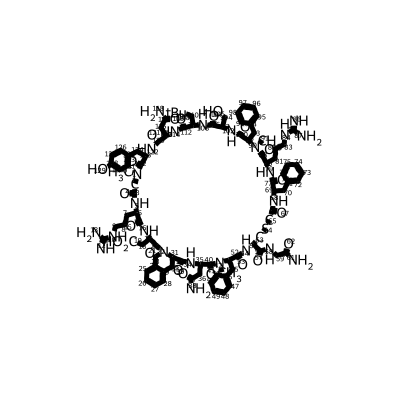 CN1CC(=O)NC(CCCNC(=N)N)C(=O)NC(CC(=O)O)C(=O)N2Cc3ccccc3CC2C(=O)NC(CC(N)=O)C(=O)N(C)C(Cc2ccccc2)C(=O)NC(C(=O)NCC(N)=O)CSCC(=O)NC(Cc2ccccc2)C(=O)NC(CCCNC(=N)N)C(=O)N(C)C(Cc2ccccc2)C(=O)NC(CO)C(=O)NC(CC(C)(C)C)C(=O)NC(CC(N)=O)C(=O)NC(Cc2ccc(O)cc2)C1=O